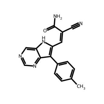 Cc1ccc(-c2c(C=C(C#N)C(N)=O)[nH]c3cncnc23)cc1